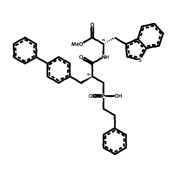 COC(=O)[C@H](Cc1csc2ccccc12)NC(=O)[C@H](Cc1ccc(-c2ccccc2)cc1)CP(=O)(O)CCc1ccccc1